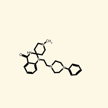 CN1CCC2(CC1)NC(=O)c1ccccc1N2CCN1CCN(c2ccccc2)CC1